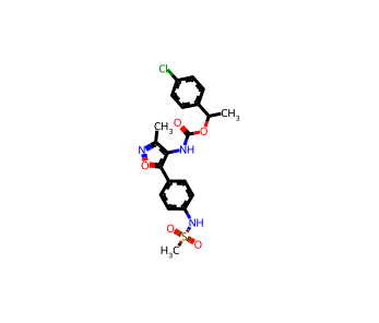 Cc1noc(-c2ccc(NS(C)(=O)=O)cc2)c1NC(=O)OC(C)c1ccc(Cl)cc1